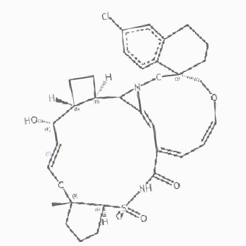 C[C@@]12C/C=C/[C@H](O)[C@@H]3CC[C@H]3C3C4=CC(=CC=COC[C@]5(CCCc6cc(Cl)ccc65)CN43)C(=O)NS(=O)(=O)[C@H]1CCC2